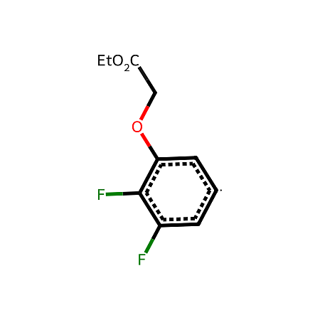 CCOC(=O)COc1c[c]cc(F)c1F